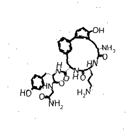 NCCC[C@@H]1NC(=O)[C@@H](N)Cc2cc(ccc2O)-c2cccc(c2)C[C@@H](C(=O)N[C@@H](Cc2ccc(O)cc2)C(=O)NCC(N)=O)NC1=O